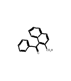 O=C(O)c1ccc2ccccc2c1C(=O)c1ccccc1